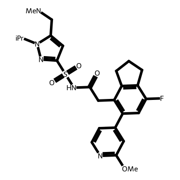 CNCc1cc(S(=O)(=O)NC(=O)Cc2c(-c3ccnc(OC)c3)cc(F)c3c2CCC3)nn1C(C)C